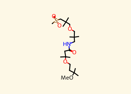 COC(C)(C)CCOC(C)(C)CC(=O)NCC(C)(C)COCC(C)(C)CS(C)(=O)=O